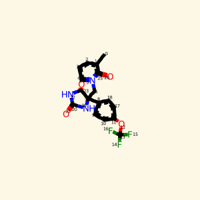 Cc1cccn(CC2(c3ccc(OC(F)(F)F)cc3)NC(=O)NC2=O)c1=O